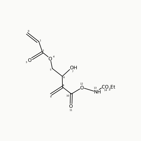 C=CC(=O)OCC(O)C(=C)C(=O)ONC(=O)OCC